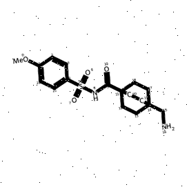 COc1ccc(S(=O)(=O)NC(=O)C23CCC(CN)(CC2)CC3)cc1